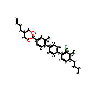 C=CCCC1COC(c2ccc(-c3ccc(-c4ccc(CCCC)c(F)c4F)cc3)c(F)c2)OC1